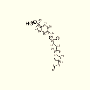 CCCC(C)(C)C(C)CC(C)(C)CCC(=O)OCc1ccc(C(C)(C)OO)cc1